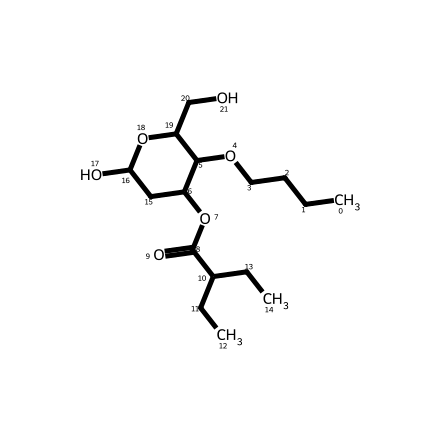 CCCCOC1C(OC(=O)C(CC)CC)CC(O)OC1CO